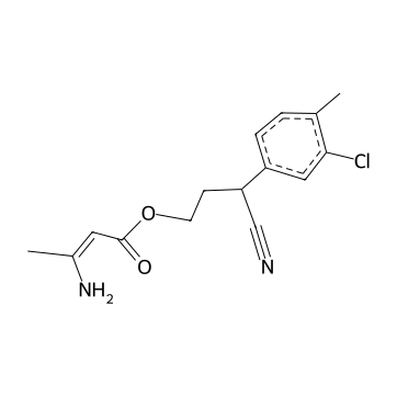 C/C(N)=C/C(=O)OCCC(C#N)c1ccc(C)c(Cl)c1